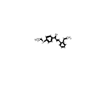 CCSc1ccc(C(=O)C=Cc2ccccc2CC)cc1